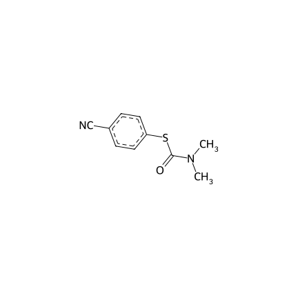 CN(C)C(=O)Sc1ccc(C#N)cc1